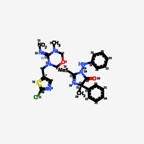 CN1COCN(Cc2cnc(Cl)s2)/C1=N/[N+](=O)[O-].CSC1=N[C@@](C)(c2ccccc2)C(=O)N1Nc1ccccc1